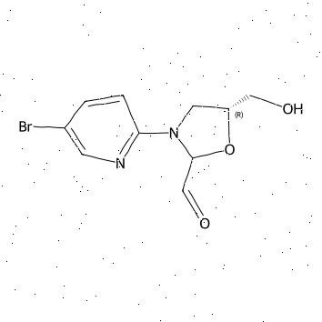 O=CC1O[C@@H](CO)CN1c1ccc(Br)cn1